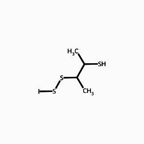 CC(S)C(C)SSI